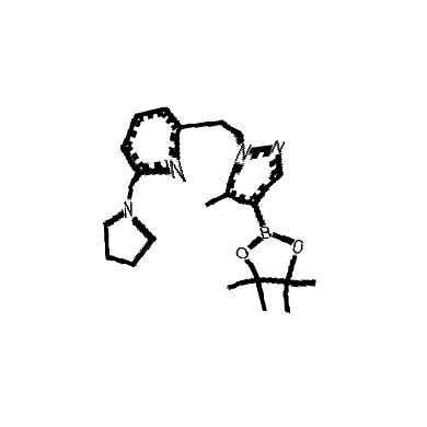 Cc1c(B2OC(C)(C)C(C)(C)O2)cnn1Cc1cccc(N2CCCC2)n1